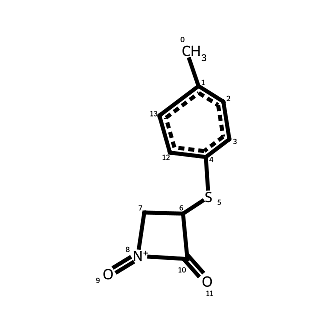 Cc1ccc(SC2C[N+](=O)C2=O)cc1